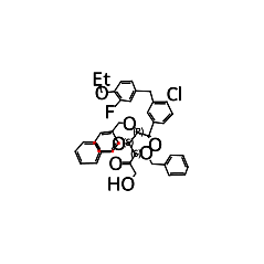 CCOc1ccc(Cc2cc(C(=O)[C@H](OCc3ccccc3)[C@H](OCc3ccccc3)[C@H](OCc3ccccc3)C(=O)CO)ccc2Cl)cc1F